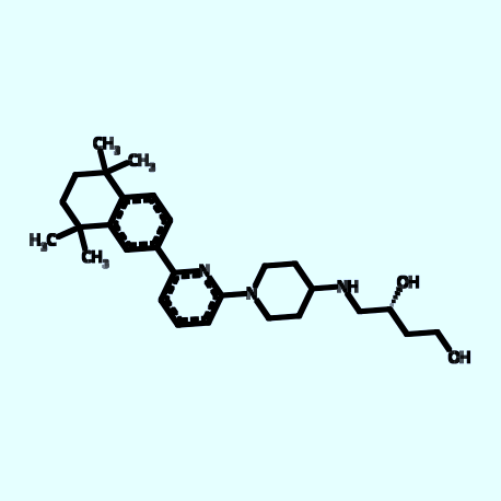 CC1(C)CCC(C)(C)c2cc(-c3cccc(N4CCC(NC[C@H](O)CCO)CC4)n3)ccc21